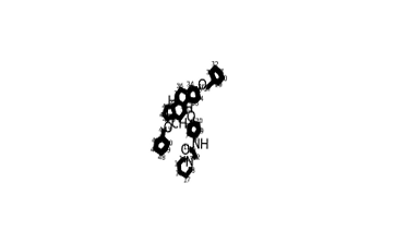 C[C@]12C[C@H](Oc3ccc(NC(=O)CN4CCCCC4)cc3)[C@@H]3c4ccc(OCc5ccccc5)cc4CC[C@H]3[C@@H]1CC[C@@H]2OCc1ccccc1